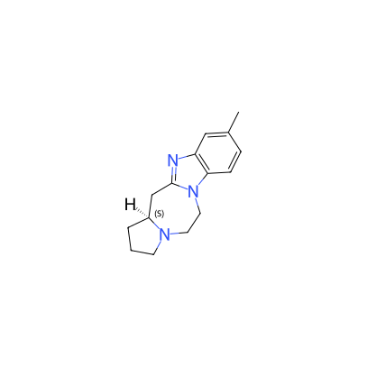 Cc1ccc2c(c1)nc1n2CCN2CCC[C@H]2C1